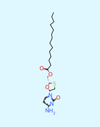 CCCCCCCCCCCCCC(=O)OC[C@H]1O[C@@H](n2ccc(N)nc2=O)CS1